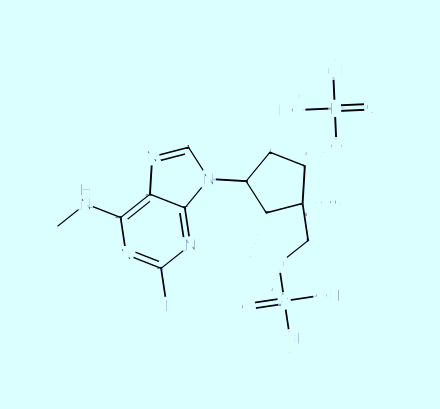 CNc1nc(I)nc2c1ncn2C1C[C@H](OP(=O)(O)O)[C@@](C)(COP(=O)(O)O)[C@@H]1C